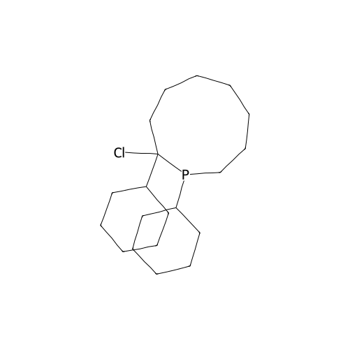 ClC1(C2CCCCC2)CCCCCCCP1C1CCCCC1